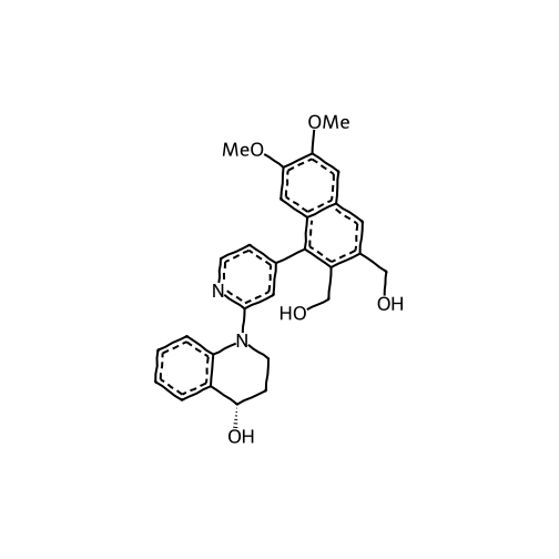 COc1cc2cc(CO)c(CO)c(-c3ccnc(N4CC[C@H](O)c5ccccc54)c3)c2cc1OC